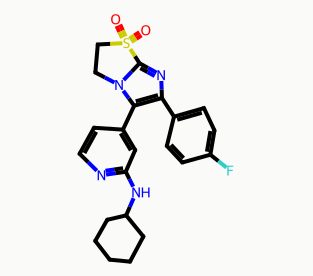 O=S1(=O)CCn2c1nc(-c1ccc(F)cc1)c2-c1ccnc(NC2CCCCC2)c1